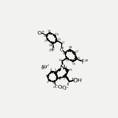 O=C([O-])c1cccc2c1c(CO)cn2Cc1cc(F)ccc1OCc1ccc(Cl)cc1F.[Na+]